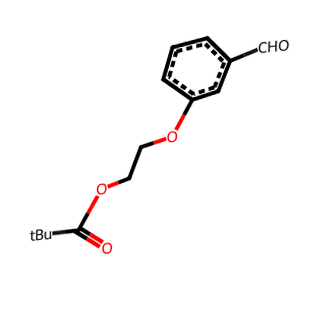 CC(C)(C)C(=O)OCCOc1cccc(C=O)c1